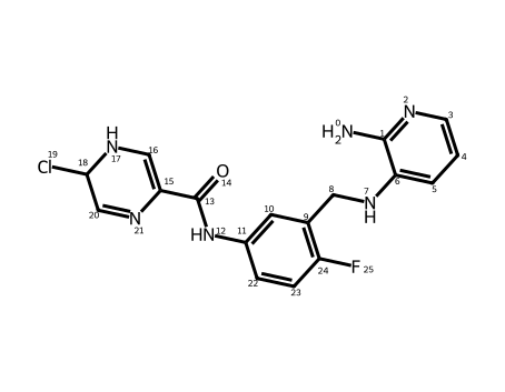 Nc1ncccc1NCc1cc(NC(=O)C2=CNC(Cl)C=N2)ccc1F